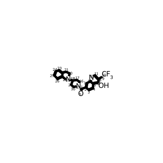 O=C(c1ccc2c(O)c(CC(F)(F)F)cnc2c1)N1CCC(N2CCc3ccccc3C2)CC1